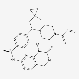 C=CC(=O)N1CCN(C(CC2(C)CC2)c2ccc([C@H](C)Nc3ncc4c(n3)N(CC)C(=O)NC4)cc2)CC1